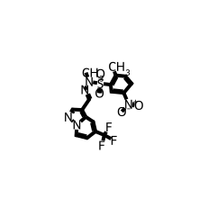 Cc1ccc([N+](=O)[O-])cc1S(=O)(=O)N(C)N=Cc1cnn2ccc(C(F)(F)F)cc12